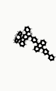 c1ccc(-c2ccc(-c3c4ccccc4c(-c4ccc(-c5nc6ccccc6c6cc7c(cc56)-c5ccccc5C75c6ccccc6Oc6ccccc65)cc4)c4ccccc34)cc2)cc1